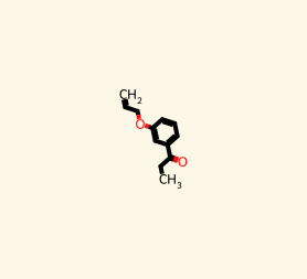 C=CCOc1cccc(C(=O)CC)c1